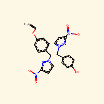 C=COc1ccc(Cn2ccc([N+](=O)[O-])n2)cc1.O=[N+]([O-])c1ccn(Cc2ccc(O)cc2)n1